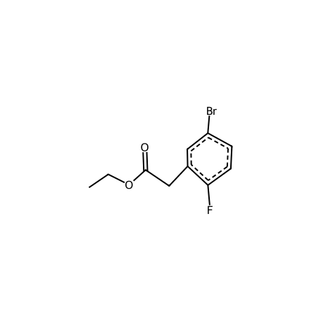 CCOC(=O)Cc1cc(Br)ccc1F